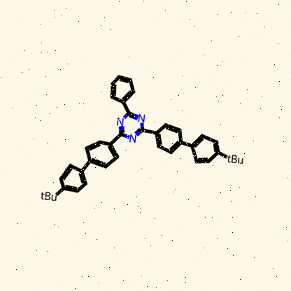 CC(C)(C)c1ccc(-c2ccc(-c3nc(-c4ccccc4)nc(-c4ccc(-c5ccc(C(C)(C)C)cc5)cc4)n3)cc2)cc1